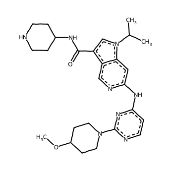 COC1CCN(c2nccc(Nc3cc4c(cn3)c(C(=O)NC3CCNCC3)cn4C(C)C)n2)CC1